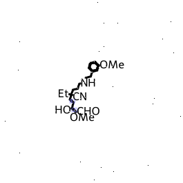 CCC(C#N)(/C=C/C(O)=C(\C=O)OC)CCCNCCc1cccc(OC)c1